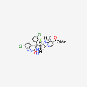 COC(=O)c1ccn2c3c(nc2c1C)[C@@H]1[C@H](C3)N[C@]2(Cc3ccc(Cl)cc3NC2=O)[C@H]1c1cccc(Cl)c1F